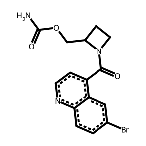 NC(=O)OCC1CCN1C(=O)c1ccnc2ccc(Br)cc12